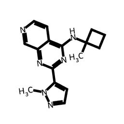 Cn1nccc1-c1nc(NC2(C)CCC2)c2ccncc2n1